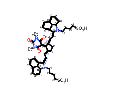 CCN1C(=O)C(=C2/C(=C/C=C3\C4=CC=CC5=CC=CC(C54)N3CCCCS(=O)(=O)O)CC/C2=C\C=C2/C3=CC=CC4=CC=CC(C43)N2CCCCS(=O)(=O)O)C(=O)N(CC)C1=O